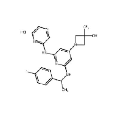 CC(Nc1cc(N2CC(O)(C(F)(F)F)C2)cc(Nc2cnccn2)n1)c1ccc(F)cc1.Cl